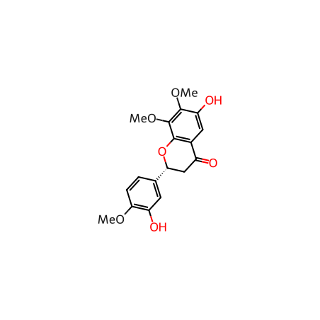 COc1ccc([C@H]2CC(=O)c3cc(O)c(OC)c(OC)c3O2)cc1O